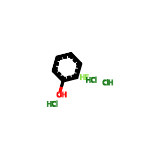 Cl.Cl.Cl.F.Oc1ccccc1